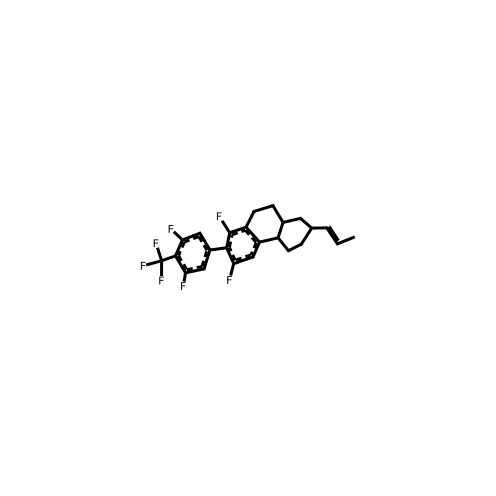 CC=CC1CCC2c3cc(F)c(-c4cc(F)c(C(F)(F)F)c(F)c4)c(F)c3CCC2C1